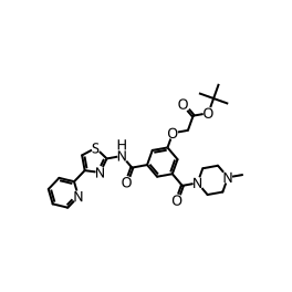 CN1CCN(C(=O)c2cc(OCC(=O)OC(C)(C)C)cc(C(=O)Nc3nc(-c4ccccn4)cs3)c2)CC1